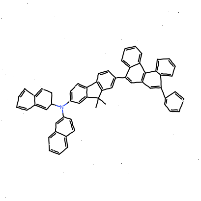 CC1(C)c2cc(-c3cc4cc(-c5ccccc5)c5ccccc5c4c4ccccc34)ccc2-c2ccc(N(c3ccc4ccccc4c3)C3C=c4ccccc4=CC3)cc21